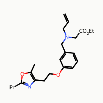 C=CCN(CC(=O)OCC)Cc1cccc(OCCc2nc(C(C)C)oc2C)c1